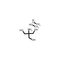 CC.CO.NC(CO)(CO)CO